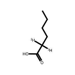 [2H]C([2H])(CCCC)C(=O)O